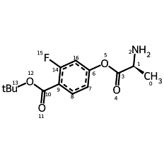 C[C@H](N)C(=O)Oc1ccc(C(=O)OC(C)(C)C)c(F)c1